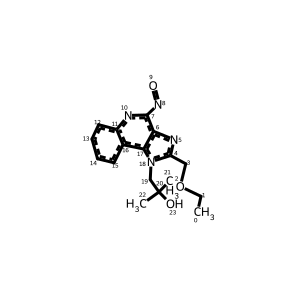 CCOCc1nc2c(N=O)nc3ccccc3c2n1CC(C)(C)O